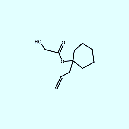 C=CCC1(OC(=O)CO)CCCCC1